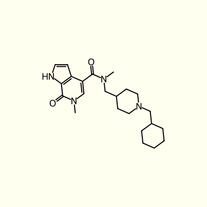 CN(CC1CCN(CC2CCCCC2)CC1)C(=O)c1cn(C)c(=O)c2[nH]ccc12